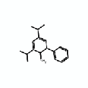 CC(C)C1=CC(c2ccccc2)C(N)C(C(C)C)=C1